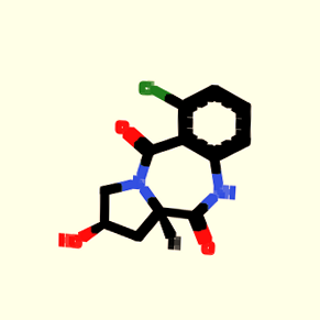 O=C1Nc2cccc(Cl)c2C(=O)N2C[C@H](O)C[C@@H]12